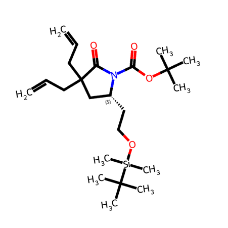 C=CCC1(CC=C)C[C@@H](CCO[Si](C)(C)C(C)(C)C)N(C(=O)OC(C)(C)C)C1=O